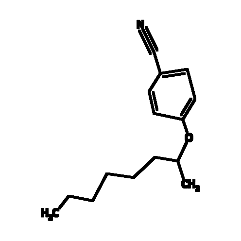 CCCCCCC(C)Oc1ccc(C#N)cc1